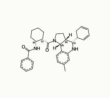 Cc1ccc2c(c1)N[C@@H](C1C=CC=CC1)[C@H]1CCN(C(=O)[C@H]3CCCC[C@H]3NC(=O)c3ccccc3)[C@@H]21